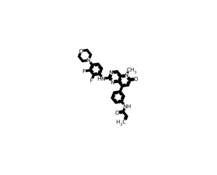 C=CC(=O)Nc1cccc(-c2cc(=O)n(C)c3cnc(Nc4ccc(N5CCOCC5)c(F)c4F)nc23)c1